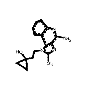 Cc1nc2c(N)nc3ccccc3c2n1CCC1(O)CC1